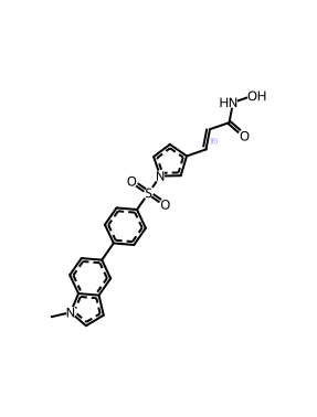 Cn1ccc2cc(-c3ccc(S(=O)(=O)n4ccc(/C=C/C(=O)NO)c4)cc3)ccc21